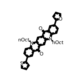 CCCCCCCCn1c2ccc(-c3ccco3)cc2c(=O)c2cc3c(cc21)c(=O)c1cc(-c2cccs2)ccc1n3CCCCCCCC